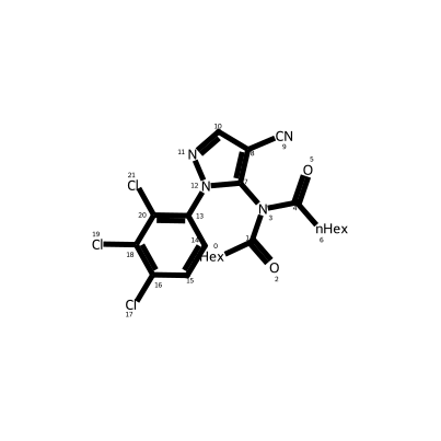 CCCCCCC(=O)N(C(=O)CCCCCC)c1c(C#N)cnn1-c1ccc(Cl)c(Cl)c1Cl